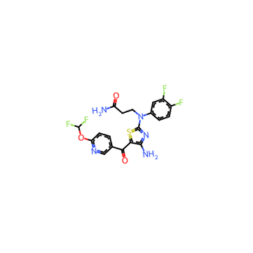 NC(=O)CCN(c1ccc(F)c(F)c1)c1nc(N)c(C(=O)c2ccc(OC(F)F)nc2)s1